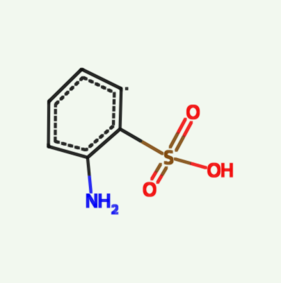 Nc1ccc[c]c1S(=O)(=O)O